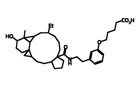 CCC1CCCC2(C(=O)NCCc3cccc(OCCCCC(=O)O)c3)CCCC2CCC2CC23CCC(O)C2(C)C(C1)C32